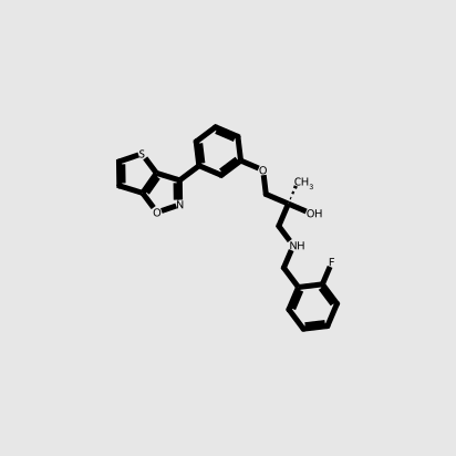 C[C@](O)(CNCc1ccccc1F)COc1cccc(-c2noc3ccsc23)c1